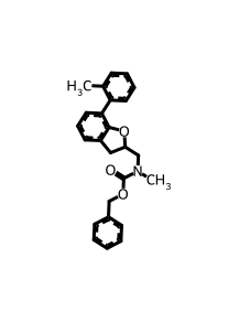 Cc1ccccc1-c1cccc2c1OC(CN(C)C(=O)OCc1ccccc1)C2